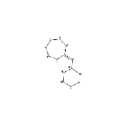 C(=C1CCCCCC1)C1CCCCC1